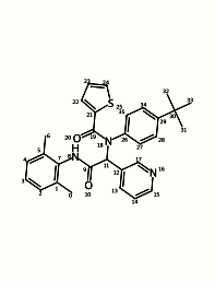 Cc1cccc(C)c1NC(=O)C(c1cccnc1)N(C(=O)c1cccs1)c1ccc(C(C)(C)C)cc1